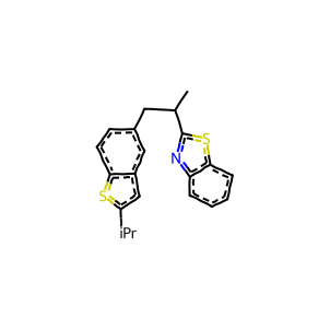 CC(C)c1cc2cc(CC(C)c3nc4ccccc4s3)ccc2s1